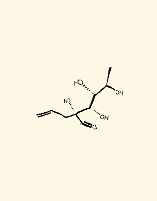 C=CC[C@](O)([C]=O)[C@@H](O)[C@H](O)[C@@H](C)O